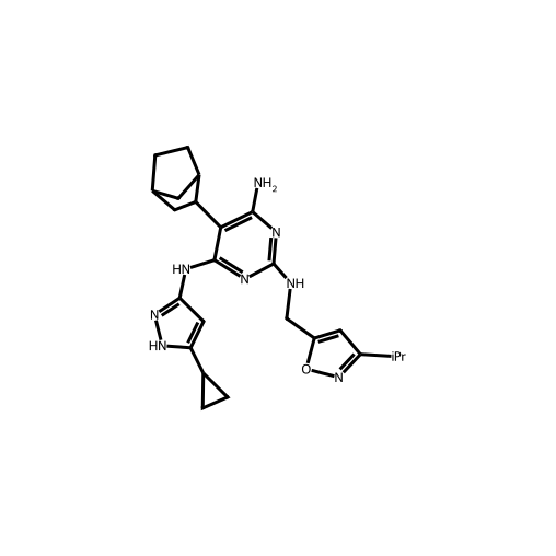 CC(C)c1cc(CNc2nc(N)c(C3CC4CCC3C4)c(Nc3cc(C4CC4)[nH]n3)n2)on1